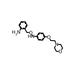 Nc1ccccc1CONc1ccc(OCCN2CCOCC2)cc1